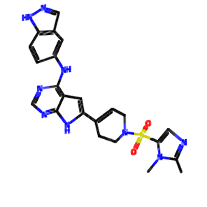 Cc1ncc(S(=O)(=O)N2CC=C(c3cc4c(Nc5ccc6[nH]ncc6c5)ncnc4[nH]3)CC2)n1C